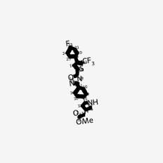 COC(=O)C[C@@H]1CN[C@@H](c2ccc(-c3noc(-c4cc(-c5ccc(F)cc5)c(C(F)(F)F)s4)n3)cc2)C1